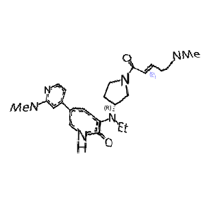 CCN(c1cc(-c2ccnc(NC)c2)c[nH]c1=O)[C@@H]1CCN(C(=O)/C=C/CNC)C1